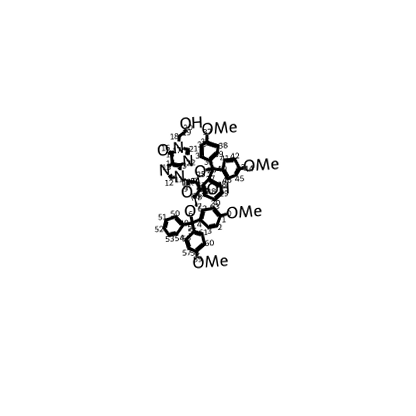 COc1ccc(C(OC[C@H]2O[C@@H](n3cnc4c(=O)n(CCO)cnc43)[C@H](OC(c3ccccc3)(c3ccc(OC)cc3)c3ccc(OC)cc3)[C@H]2O)(c2ccccc2)c2ccc(OC)cc2)cc1